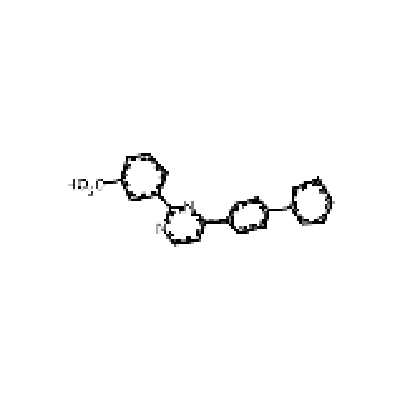 O=C(O)c1cccc(-c2nccc(-c3ccc(-c4ccccc4)cc3)n2)c1